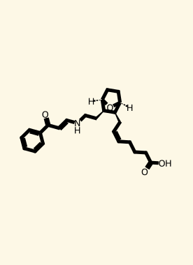 O=C(O)CCC/C=C\C[C@H]1[C@@H](CCNC=CC(=O)c2ccccc2)[C@H]2CC[C@@H]1O2